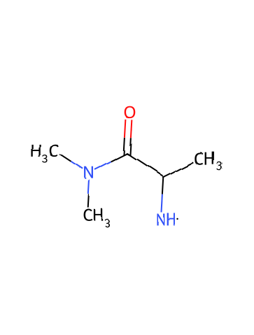 CC([NH])C(=O)N(C)C